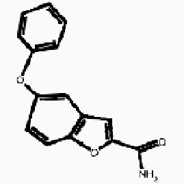 NC(=O)c1cc2cc(Oc3ccccc3)ccc2o1